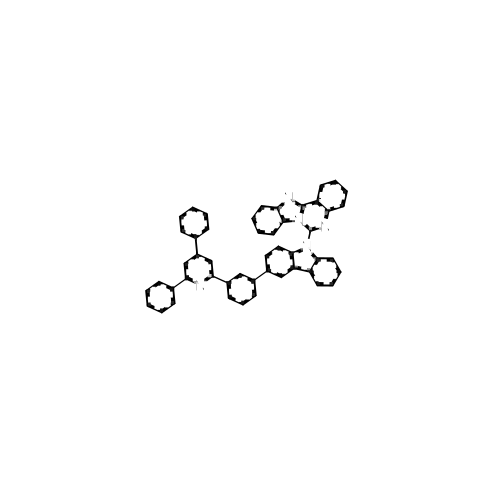 c1ccc(-c2cc(-c3ccccc3)nc(-c3cccc(-c4ccc5c(c4)c4ccccc4n5-c4nc5ccccc5c5nc6ccccc6n45)c3)c2)cc1